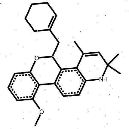 COc1cccc2c1-c1ccc3c(c1C(CC1=CCCCC1)O2)C(C)=CC(C)(C)N3